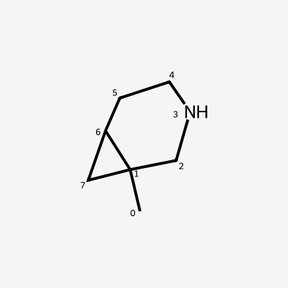 CC12CNCCC1C2